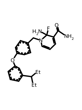 CCC(CC)c1cccc(Oc2ccc(CN3C=CC=C(C(N)=O)C3(N)F)cc2)c1